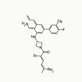 C=C/C=c1/cc(-c2ccc(F)c(C#N)c2)cc(NC2CN(C(=O)/C(=C/C=C(/C)N)CC)C2)/c1=C/N